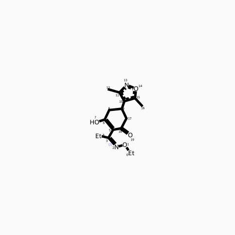 CCO/N=C(/CC)C1=C(O)CC(c2c(C)noc2C)CC1=O